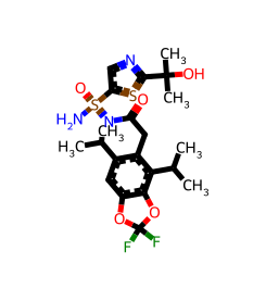 CC(C)c1cc2c(c(C(C)C)c1CC(=O)N=S(N)(=O)c1cnc(C(C)(C)O)s1)OC(F)(F)O2